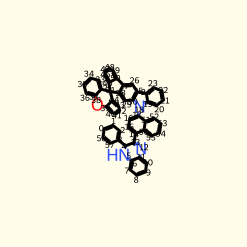 c1ccc(C2Nc3ccccc3N=C2c2ccc(-n3c4ccccc4c4cc5c(cc43)C3(c4ccccc4Oc4ccccc43)c3ccccc3-5)c3ccccc23)cc1